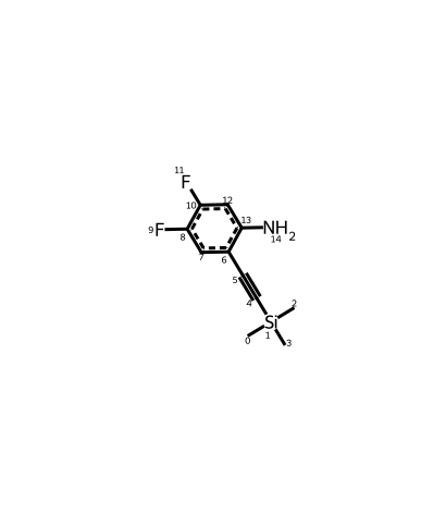 C[Si](C)(C)C#Cc1cc(F)c(F)cc1N